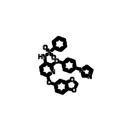 O=S(=O)(Nc1ccc(Oc2ccc3c(c2)OCO3)nc1Oc1ccc(-n2ccnc2)cc1)c1ccccc1